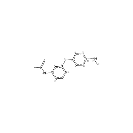 C=C(C)Nc1cc(Cc2ccc(NC)cc2)ncn1